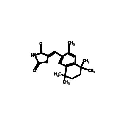 Cc1cc2c(cc1/C=C1\SC(=O)NC1=O)C(C)(C)CCC2(C)C